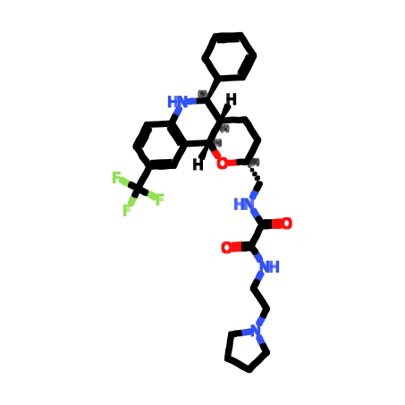 O=C(NCCN1CCCC1)C(=O)NC[C@H]1CC[C@@H]2[C@H](O1)c1cc(C(F)(F)F)ccc1N[C@H]2C1C=CC=CC1